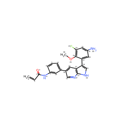 C=CC(=O)Nc1cccc(-c2cnc3[nH]cc(-c4cc(N)cc(F)c4OC)c3c2)c1